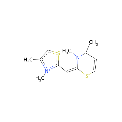 Cc1csc(C=C2SC=CC(C)N2C)[n+]1C